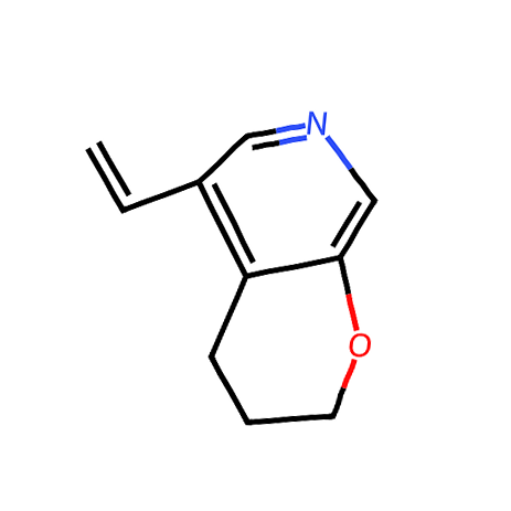 C=Cc1cncc2c1CCCO2